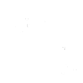 CC1(C)OB(C2=CC=C(CN3CCS(=O)(=O)CC3)C[C@H]2I)OC1(C)C